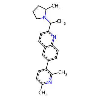 Cc1ccc(-c2ccc3nc(C(C)N4CCCC4C)ccc3c2)c(C)n1